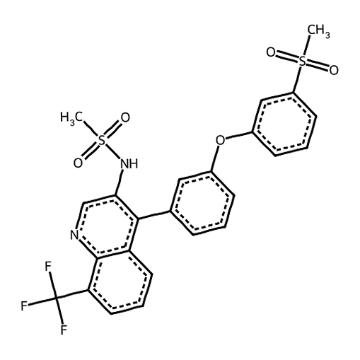 CS(=O)(=O)Nc1cnc2c(C(F)(F)F)cccc2c1-c1cccc(Oc2cccc(S(C)(=O)=O)c2)c1